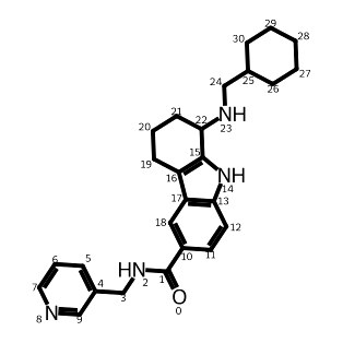 O=C(NCc1cccnc1)c1ccc2[nH]c3c(c2c1)CCCC3NCC1CCCCC1